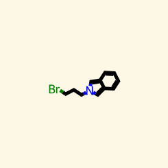 BrCCCn1cc2ccccc2c1